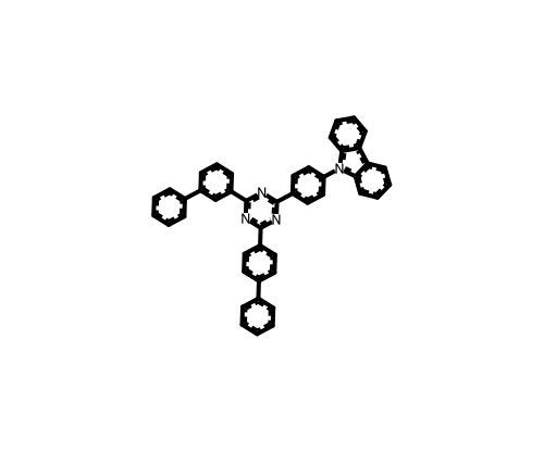 c1ccc(-c2ccc(-c3nc(-c4ccc(-n5c6ccccc6c6ccccc65)cc4)nc(-c4cccc(-c5ccccc5)c4)n3)cc2)cc1